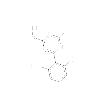 Cc1cccc(C)c1-c1nc(O)nc(NN)n1